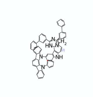 C=C/C=C\c1[nH]c2ccc(-n3c4ccccc4c4ccc5c6ccccc6n(-c6ccccc6)c5c43)cc2c1C1N=C(c2cccc(-c3ccccc3)c2)N=C(c2cccc(-c3ccccc3)c2)N1